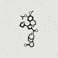 COc1cc2c(cc1OC(C)C)-c1c(-c3cccs3)cc(C(=O)N3CC4CC(C3)C3CCCC(=O)N3C4)n1CC2